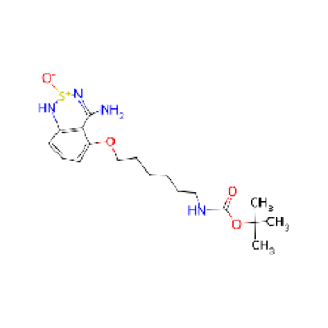 CC(C)(C)OC(=O)NCCCCCCOc1cccc2c1C(N)=N[S+]([O-])N2